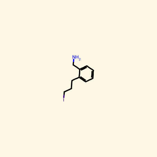 NCc1ccccc1CCCI